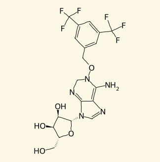 NC1=c2ncn([C@@H]3O[C@H](CO)[C@@H](O)[C@H]3O)c2=NCN1OCc1cc(C(F)(F)F)cc(C(F)(F)F)c1